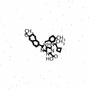 COc1ccc2cc(-c3nc4nc(C(=O)O)nc(N[C@H](C)C5CCC5)c4n3Cc3ccc(C)cc3)ccc2c1